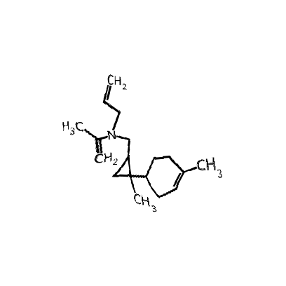 C=CCN(CC1CC1(C)C1CC=C(C)CC1)C(=C)C